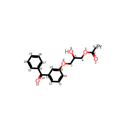 CC(C)C(=O)OCC(O)COc1cccc(C(=O)c2ccccc2)c1